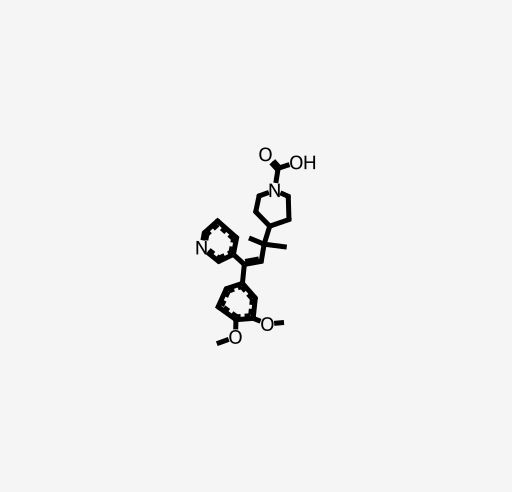 COc1ccc(C(=CC(C)(C)C2CCN(C(=O)O)CC2)c2cccnc2)cc1OC